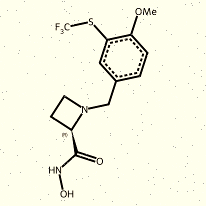 COc1ccc(CN2CC[C@@H]2C(=O)NO)cc1SC(F)(F)F